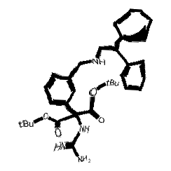 CC(C)(C)OC(=O)C(NC(=N)N)(C(=O)OC(C)(C)C)c1cccc(CNCC(c2ccccc2)c2ccccc2)c1